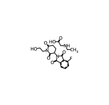 CCNCC(=O)O.O=C1CCC(N2C(=O)c3cccc(F)c3C2=O)C(=O)N1CCO